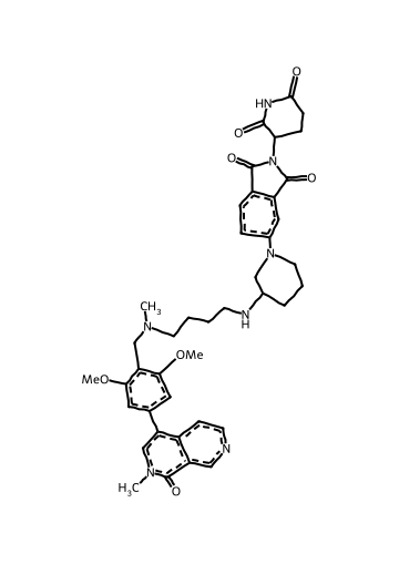 COc1cc(-c2cn(C)c(=O)c3cnccc23)cc(OC)c1CN(C)CCCCNC1CCCN(c2ccc3c(c2)C(=O)N(C2CCC(=O)NC2=O)C3=O)C1